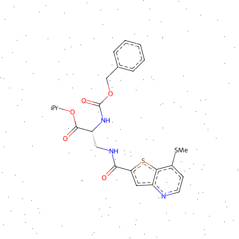 CSc1ccnc2cc(C(=O)NC[C@@H](NC(=O)OCc3ccccc3)C(=O)OC(C)C)sc12